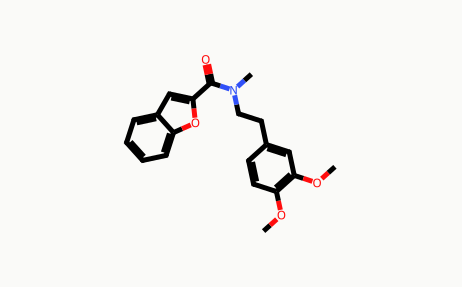 COc1ccc(CCN(C)C(=O)c2cc3ccccc3o2)cc1OC